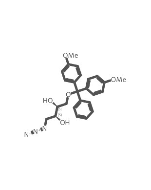 COc1ccc(C(OC[C@H](O)[C@@H](O)CN=[N+]=[N-])(c2ccccc2)c2ccc(OC)cc2)cc1